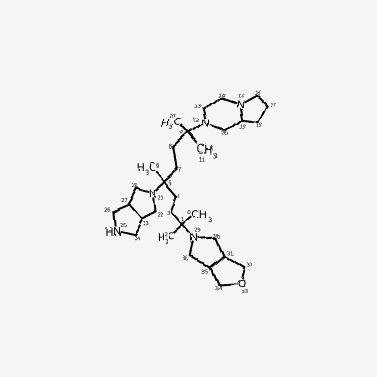 CC(C)(CCC(C)(CCC(C)(C)N1CCN2CCCC2C1)N1CC2CNCC2C1)N1CC2COCC2C1